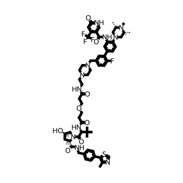 Cc1ncsc1-c1ccc(CNC(=O)[C@@H]2C[C@@H](O)CN2C(=O)C(NC(=O)CCOCCC(=O)NCCN2CCN(Cc3ccc(F)c(-c4ccc(N5C[C@@H](C)N(C)[C@@H](C)C5)c(NC(=O)c5c[nH]c(=O)cc5C(F)(F)F)c4)c3)CC2)C(C)(C)C)cc1